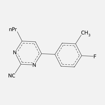 CCCc1cc(-c2ccc(F)c(C)c2)nc(C#N)n1